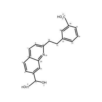 CCCCCCCCC(O)c1ccc2ccc(CCc3cccc(C(=O)O)c3)nc2c1